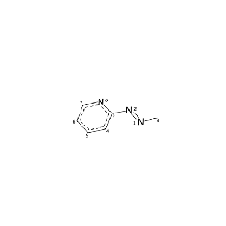 C/N=N/c1ccccn1